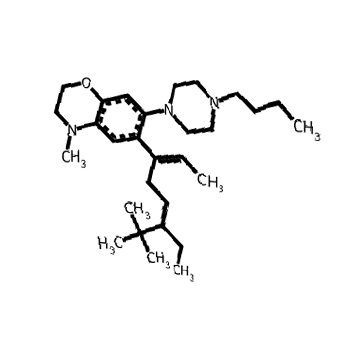 C/C=C(\CCC(CC)C(C)(C)C)c1cc2c(cc1N1CCN(CCCC)CC1)OCCN2C